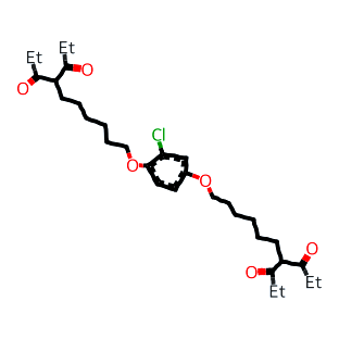 CCC(=O)C(CCCCCCOc1ccc(OCCCCCCC(C(=O)CC)C(=O)CC)c(Cl)c1)C(=O)CC